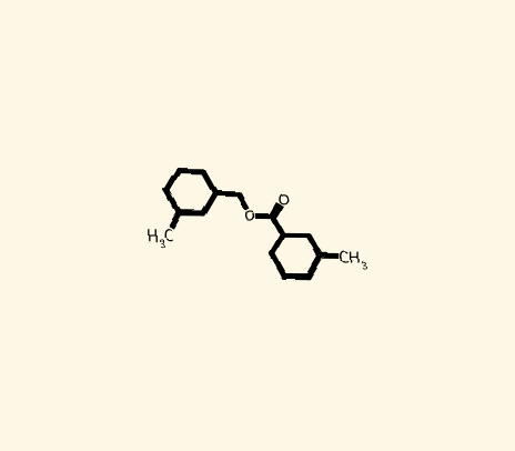 CC1CCCC(COC(=O)C2CCCC(C)C2)C1